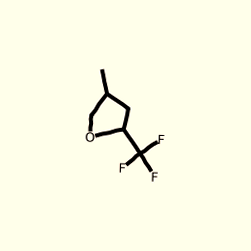 CC1COC(C(F)(F)F)C1